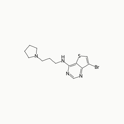 Brc1csc2c(NCCCN3CCCC3)ncnc12